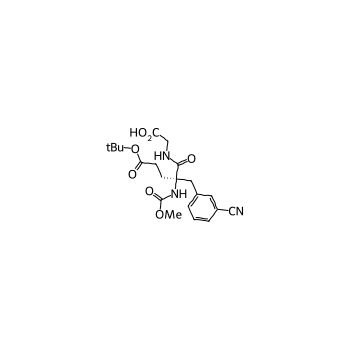 COC(=O)N[C@](CCC(=O)OC(C)(C)C)(Cc1cccc(C#N)c1)C(=O)NCC(=O)O